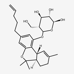 C=CCCCc1cc(OC2O[C@H](O)[C@@H](O)[C@H](O)[C@H]2CO)c2c(c1)OC(C)(C)[C@@H]1CCC(C)=C[C@@H]21